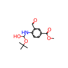 COC(=O)c1ccc(NC(O)OC(C)(C)C)c(C=O)c1